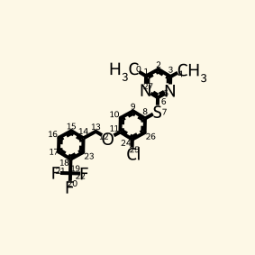 Cc1cc(C)nc(Sc2ccc(OCc3cccc(C(F)(F)F)c3)c(Cl)c2)n1